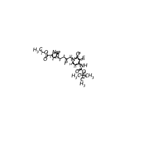 CCOC(=O)c1cn(CCC(F)Cn2ccc(NC(=O)OC(C)(C)C)c(F)c2=O)nn1